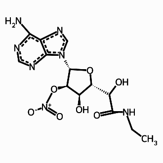 CCNC(=O)C(O)[C@H]1O[C@@H](n2cnc3c(N)ncnc32)[C@H](O[N+](=O)[O-])[C@@H]1O